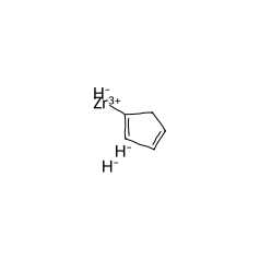 [H-].[H-].[H-].[Zr+3][C]1=CC=CC1